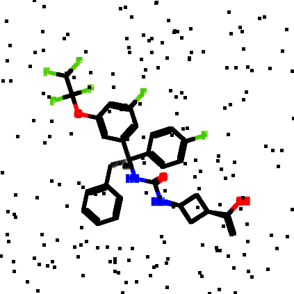 C=C(O)[C@H]1C[C@@H](NC(=O)N[C@](Cc2ccccc2)(c2ccc(F)cc2)c2cc(F)cc(OC(F)(F)C(F)F)c2)C1